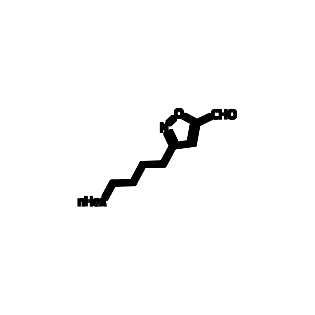 CCCCCCCCCCc1cc(C=O)on1